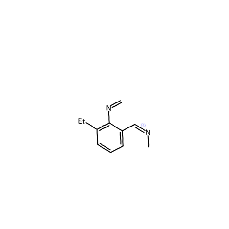 C=Nc1c(/C=N\C)cccc1CC